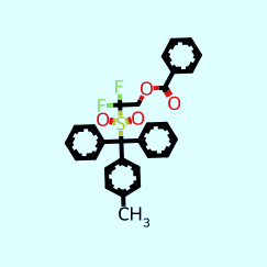 Cc1ccc(C(c2ccccc2)(c2ccccc2)S(=O)(=O)C(F)(F)COC(=O)c2ccccc2)cc1